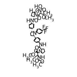 COC(=O)N[C@H](C(=O)N1CCCC1C(=O)Nc1ccc([C@H]2CC[C@H](c3ccc(NC(=O)[C@@H]4CCCN4C(=O)[C@H]([C@H](C)OC)N(C)C(=O)O)cc3)N2c2ccc(C(F)(F)F)cc2)cc1)[C@H](C)OC